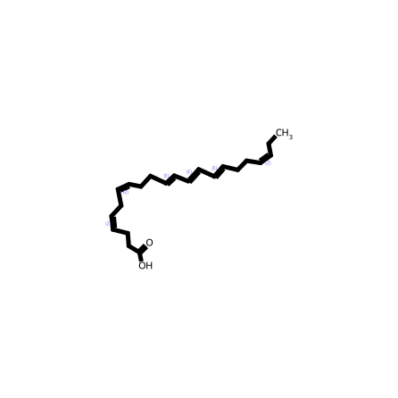 CC/C=C\CC/C=C/C=C/C=C/CC/C=C\C/C=C\CCC(=O)O